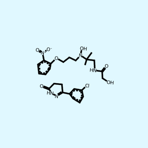 CC(C)(CNC(=O)CO)N(O)CCCOc1ccccc1[N+](=O)[O-].O=C1CCC(c2cccc(Cl)c2)=NN1